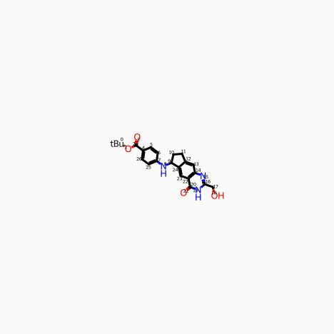 CC(C)(C)OC(=O)c1ccc(NC2CCc3cc4nc(CO)[nH]c(=O)c4cc32)cc1